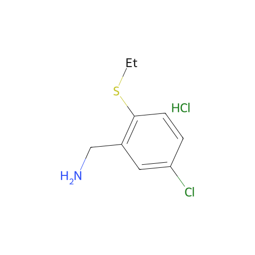 CCSc1ccc(Cl)cc1CN.Cl